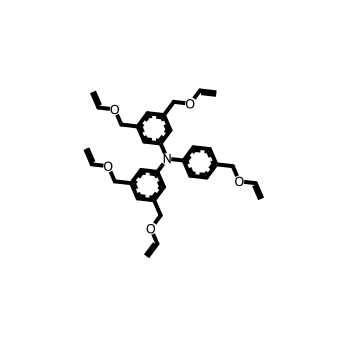 C=COCc1ccc(N(c2cc(COC=C)cc(COC=C)c2)c2cc(COC=C)cc(COC=C)c2)cc1